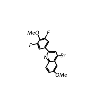 COc1ccc2nc(-c3cc(F)c(OC)c(F)c3)cc(Br)c2c1